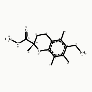 Cc1c(C)c2c(c(C)c1CN)CC[C@@](C)(C(=O)ON)O2